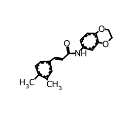 Cc1ccc(/C=C/C(=O)Nc2ccc3c(c2)OCCO3)cc1C